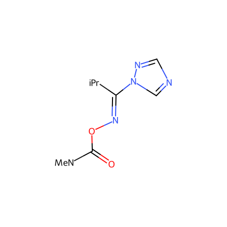 CNC(=O)ON=C(C(C)C)n1cncn1